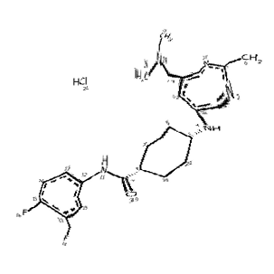 Cc1nc(N[C@H]2CC[C@@H](C(=O)Nc3ccc(F)c(F)c3)CC2)cc(N(C)C)n1.Cl